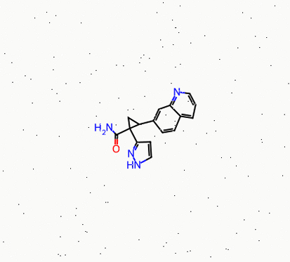 NC(=O)C1(c2cc[nH]n2)CC1c1ccc2cccnc2c1